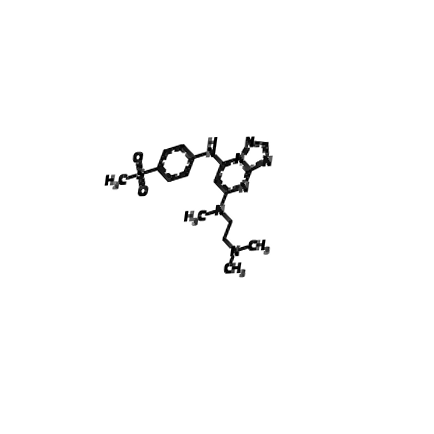 CN(C)CCN(C)c1cc(Nc2ccc(S(C)(=O)=O)cc2)n2ncnc2n1